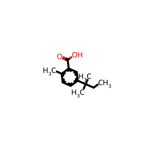 CCC(C)(C)c1ccc(C)c(C(=O)O)c1